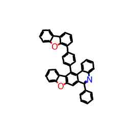 c1ccc(-c2nc3ccccc3c3c(-c4ccc(-c5cccc6c5oc5ccccc56)cc4)c4c(cc23)oc2ccccc24)cc1